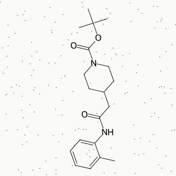 Cc1ccccc1NC(=O)CC1CCN(C(=O)OC(C)(C)C)CC1